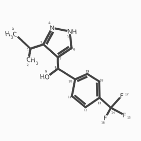 CC(C)c1n[nH]cc1C(O)c1ccc(C(F)(F)F)cc1